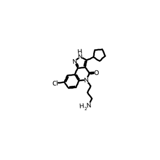 NCCCn1c(=O)c2c(C3CCCC3)[nH]nc2c2cc(Cl)ccc21